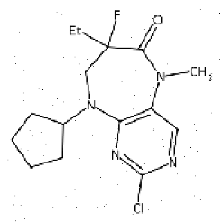 CCC1(F)CN(C2CCCC2)c2nc(Cl)ncc2N(C)C1=O